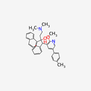 COc1ncc(-c2ccc(C)cc2)cc1C(c1ccccc1)C(O)(CCN(C)C)c1cccc2ccccc12